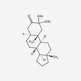 CC(=O)OC1(OC(C)=O)C[C@]2(C)[C@H]3CC[C@]4(C)CCC[C@H]4[C@@H]3CC[C@@]2(F)CC1=O